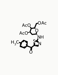 CC(=O)OCC1O[C@H](Nc2ncc(C(=O)c3ccc(C)cc3)s2)C[C@@H](OC(C)=O)C1OC(C)=O